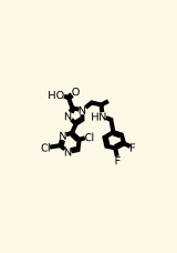 CC(Cn1cc(-c2nc(Cl)ncc2Cl)nc1C(=O)O)NCc1ccc(F)c(F)c1